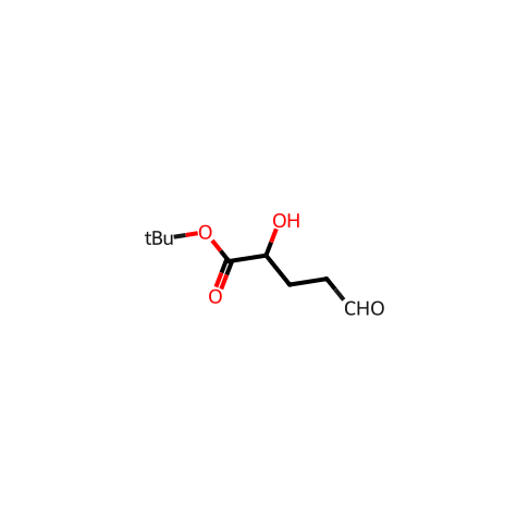 CC(C)(C)OC(=O)C(O)CCC=O